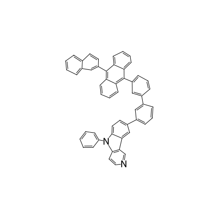 c1ccc(-n2c3ccncc3c3cc(-c4cccc(-c5cccc(-c6c7ccccc7c(-c7ccc8ccccc8c7)c7ccccc67)c5)c4)ccc32)cc1